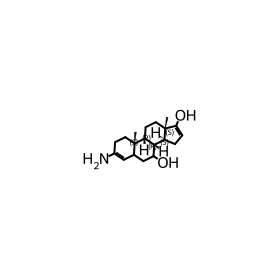 C[C@]12CCC(N)=CC1CC(O)[C@@H]1[C@H]2CC[C@]2(C)C(O)=CC[C@@H]12